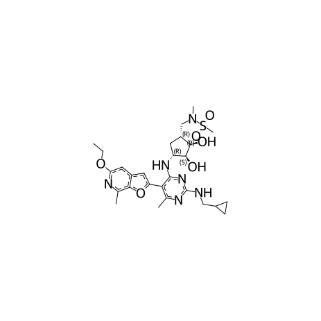 CCOc1cc2cc(-c3c(C)nc(NCC4CC4)nc3N[C@@H]3C[C@H](CN(C)S(C)(=O)=O)[C@@H](O)[C@H]3O)oc2c(C)n1